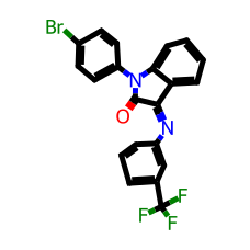 O=C1C(=Nc2cccc(C(F)(F)F)c2)c2ccccc2N1c1ccc(Br)cc1